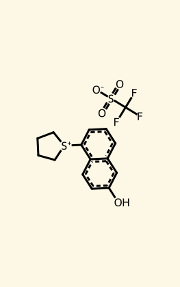 O=S(=O)([O-])C(F)(F)F.Oc1ccc2c([S+]3CCCC3)cccc2c1